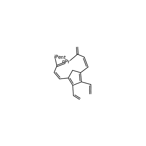 C=CC1=C(/C=C\C(=C)CCC)CC(/C=C\C(=C)C(C)CCC)=C1C=C